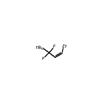 CC/C=C\C(F)(F)C(C)(C)C